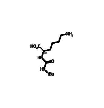 CC(C)(C)NC(=O)N[C@@H](CCCCN)C(=O)O